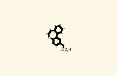 O=C(O)Cc1ccc2c(c1)-c1ccccc1C=CO2